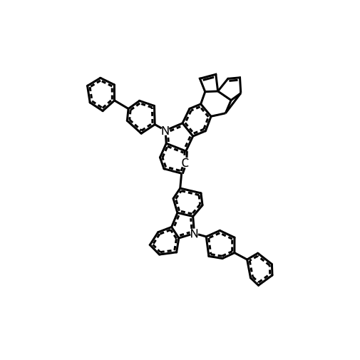 C1=CC23C=CC2c2cc4c(cc2C2C1C23)c1cc(-c2ccc3c(c2)c2ccccc2n3-c2ccc(-c3ccccc3)cc2)ccc1n4-c1ccc(-c2ccccc2)cc1